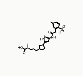 Cc1ccc(S(C)(=O)=O)c(CC(=O)Nc2cc(C3CCC(CCCNC(=O)O)C3)[nH]n2)c1